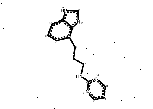 [c]1ccnc(NCCCc2cccc3[nH]cnc23)n1